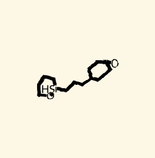 C1CC[SiH](CCCC2CCC3OC3C2)OC1